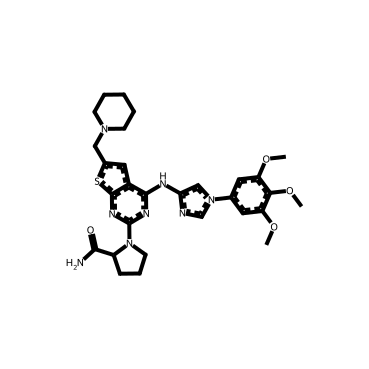 COc1cc(-n2cnc(Nc3nc(N4CCCC4C(N)=O)nc4sc(CN5CCCCC5)cc34)c2)cc(OC)c1OC